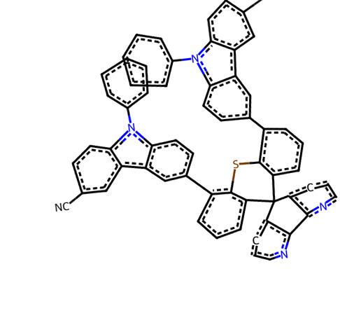 N#Cc1ccc2c(c1)c1cc(-c3cccc4c3Sc3c(-c5ccc6c(c5)c5cc(C#N)ccc5n6-c5ccccc5)cccc3C43c4cccnc4-c4ncccc43)ccc1n2-c1ccccc1